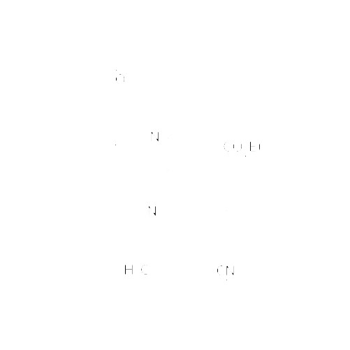 CCOC(=O)c1cc(C#N)c(C)nc1N1CCOCC1